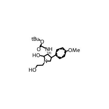 COc1ccc(C2CN(CCO)C(O)[C@@H]2NC(=O)OC(C)(C)C)cc1